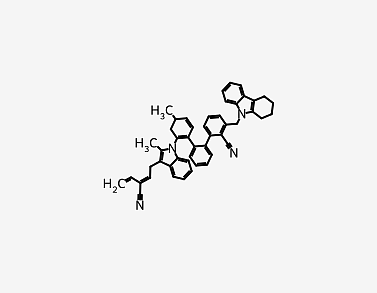 C=C/C(C#N)=C\Cc1c(C)n(C2=C(c3ccccc3-c3cccc(Cn4c5c(c6ccccc64)CCCC5)c3C#N)C=CC(C)C2)c2ccccc12